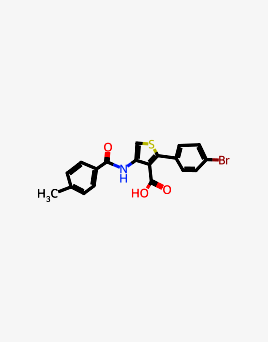 Cc1ccc(C(=O)Nc2csc(-c3ccc(Br)cc3)c2C(=O)O)cc1